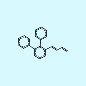 C=CC=Cc1cccc(-c2ccccc2)c1-c1ccccc1